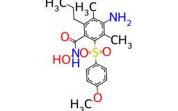 CCCc1c(C)c(N)c(C)c(S(=O)(=O)c2ccc(OC)cc2)c1C(=O)NO